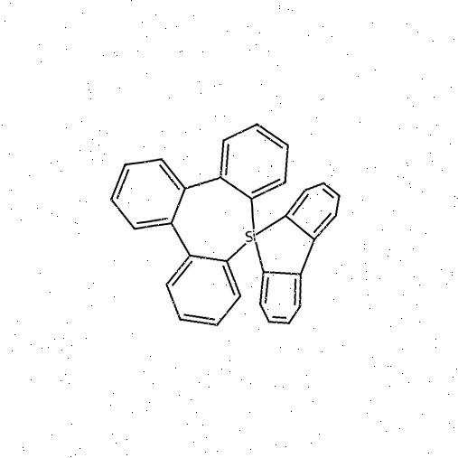 c1ccc2c(c1)-c1ccccc1[Si]1(c3ccccc3-2)c2ccccc2-c2ccccc21